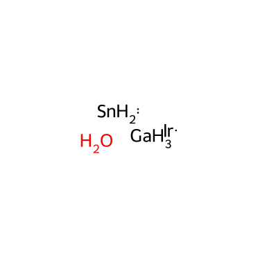 O.[GaH3].[Ir].[SnH2]